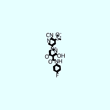 C[S+]([O-])c1cc(-[n+]2cc([O-])c(C(=O)Nc3ccc(F)cc3)c(O)n2)cnc1C#N